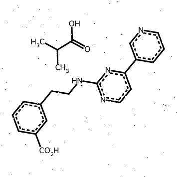 CC(C)C(=O)O.O=C(O)c1cccc(CCNc2nccc(-c3cccnc3)n2)c1